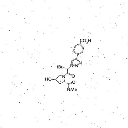 CNC(=O)[C@@H]1C[C@@H](O)CN1C(=O)[C@@H](n1cc(-c2ccc(C(=O)O)cc2)nn1)C(C)(C)C